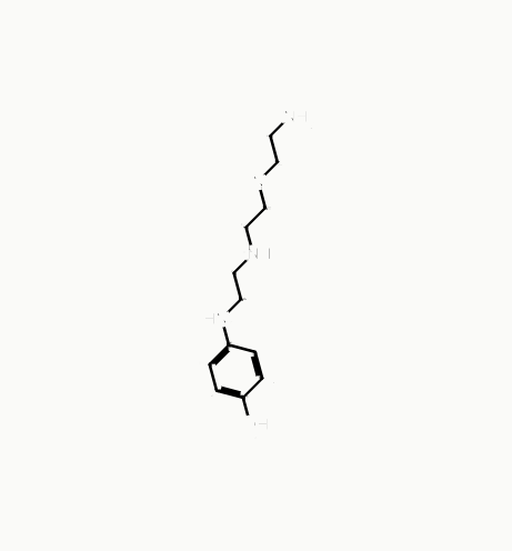 NCCNCCNCCNc1ccc(O)cc1